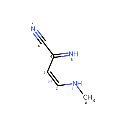 CN/C=C\C(=N)C#N